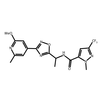 COc1cc(-c2noc(C(C)NC(=O)c3cc(C(F)(F)F)nn3C)n2)cc(C)n1